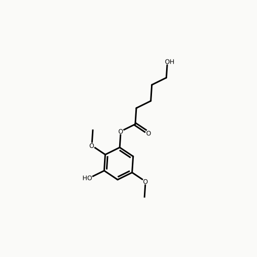 COc1cc(O)c(OC)c(OC(=O)CCCCO)c1